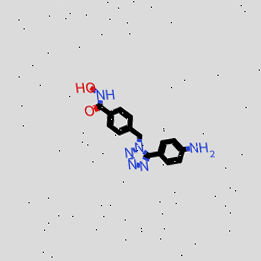 Nc1ccc(-c2nnnn2Cc2ccc(C(=O)NO)cc2)cc1